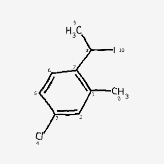 Cc1cc(Cl)ccc1C(C)I